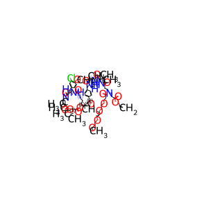 C=CCOC(=O)CCN(CCC(=O)N[C@H](C(=O)N[C@@H](C)C(=O)NCc1ccc([C@H]2O[C@H]2C(C)[C@@H]2C/C=C/C(=O)N[C@H](Cc3ccc(OC)c(Cl)c3)C(=O)NCC(C)(C)C(=O)O[C@@H](CC(C)C)C(=O)O2)cc1)C(C)C)C(=O)CCOCCOCCOCCOC